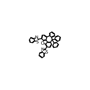 c1ccc(C2(c3ccccc3)c3ccccc3-c3ccc(-c4nc5ccccc5s4)c4oc5c(-c6nc7ccccc7s6)ccc2c5c34)cc1